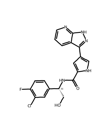 O=C(N[C@H](CO)c1ccc(F)c(Cl)c1)c1cc(-c2n[nH]c3ncccc23)c[nH]1